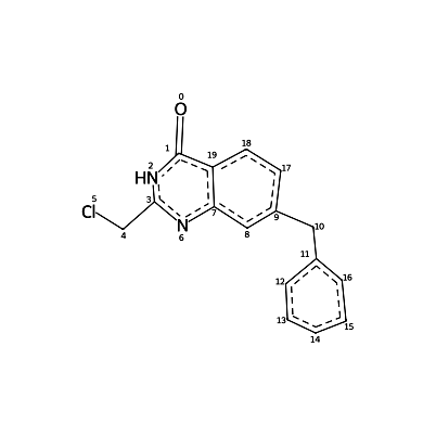 O=c1[nH]c(CCl)nc2cc(Cc3ccccc3)ccc12